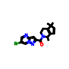 CC1C2=C(CCN1C(=O)c1cc3ncc(Br)cn3n1)C(C)(C)C=C2